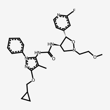 COCCN1C[C@@H](NC(=O)Nc2c(C)c(OCC3CC3)nn2-c2ccccc2)[C@H](c2ccnc(F)c2)O1